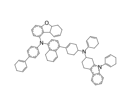 C1=CCCC(N(C2CC=C(c3ccc(N(c4ccc(C5=CCCC=C5)cc4)c4cccc5c4C4C=CCCC4O5)c4c3C=CCC4)CC2)C2CCc3c(n(C4=CCCC=C4)c4ccccc34)C2)=C1